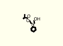 C=C(C)C(=O)OCCN(CCO)c1ccccc1